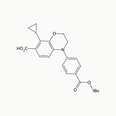 CC(C)(C)OC(=O)c1ccc(N2CCOc3c2ccc(C(=O)O)c3C2CC2)cc1